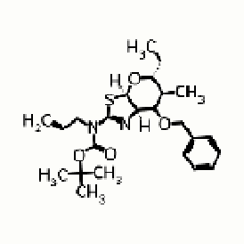 C=CCN(C(=O)OC(C)(C)C)C1=N[C@@H]2C(OCc3ccccc3)[C@H](C)[C@@H](CC)O[C@@H]2S1